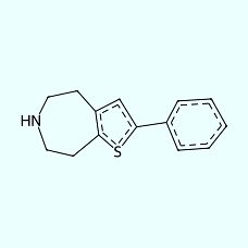 c1ccc(-c2cc3c(s2)CCNCC3)cc1